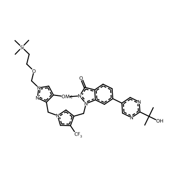 COc1cn(COCC[Si](C)(C)C)nc1Cn1cc(Cn2c3cc(-c4cnc(C(C)(C)O)nc4)ccc3c(=O)n2C)c(C(F)(F)F)c1